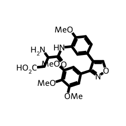 COc1ccc(-c2conc2-c2cc(OC)c(OC)c(OC)c2)cc1NC(=O)C(N)CC(=O)O